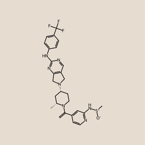 C=C(c1ccnc(N[S+](C)[O-])c1)N1CC[C@@H](N2Cc3cnc(Nc4ccc(C(F)(F)F)cc4)nc3C2)C[C@H]1C